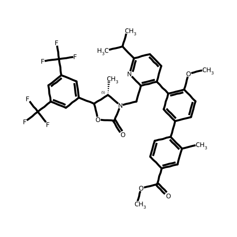 COC(=O)c1ccc(-c2ccc(OC)c(-c3ccc(C(C)C)nc3CN3C(=O)OC(c4cc(C(F)(F)F)cc(C(F)(F)F)c4)[C@@H]3C)c2)c(C)c1